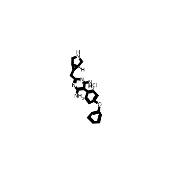 Cl.Nc1nc(CC2C3CNC[C@H]32)nc(N)c1-c1ccc(Oc2ccccc2)cc1